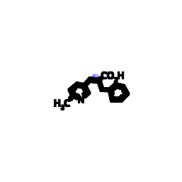 Cc1ccc(/C=C(\Cc2ccccc2)C(=O)O)cn1